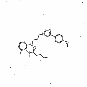 CCCCC(=O)Nc1c(C)cccc1OCCCn1cnc(-c2ccc(OC)cc2)c1